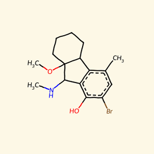 CNC1c2c(O)c(Br)cc(C)c2C2CCCCC21OC